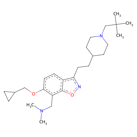 CN(C)Cc1c(OCC2CC2)ccc2c(CCC3CCN(CC(C)(C)C)CC3)noc12